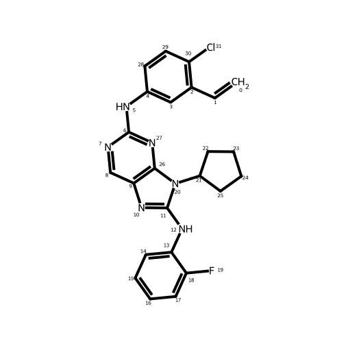 C=Cc1cc(Nc2ncc3nc(Nc4ccccc4F)n(C4CCCC4)c3n2)ccc1Cl